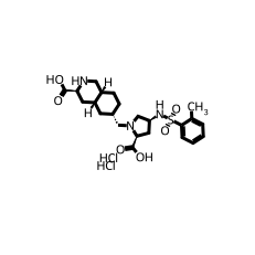 Cc1ccccc1S(=O)(=O)N[C@H]1C[C@@H](C(=O)O)N(C[C@H]2CC[C@H]3CN[C@H](C(=O)O)C[C@H]3C2)C1.Cl.Cl